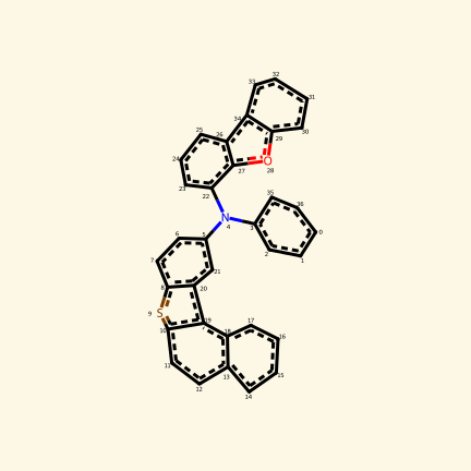 c1ccc(N(c2ccc3sc4ccc5ccccc5c4c3c2)c2cccc3c2oc2ccccc23)cc1